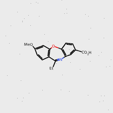 CCC1=Nc2cc(C(=O)O)ccc2Oc2cc(OC)ccc21